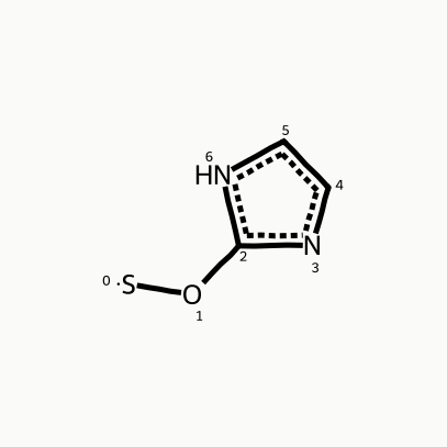 [S]Oc1ncc[nH]1